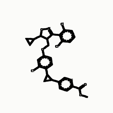 COC(=O)c1ccc(C2CC2c2ccc(OCC3C(c4c(Cl)cccc4Cl)=NOC3C3CC3)cc2Cl)cn1